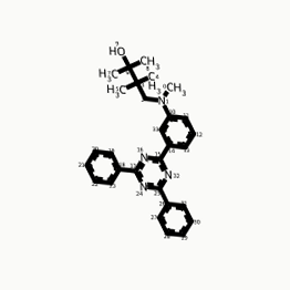 CN(CC(C)(C)C(C)(C)O)c1cccc(-c2nc(-c3ccccc3)nc(-c3ccccc3)n2)c1